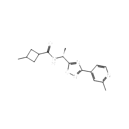 Cc1cc(-c2noc([C@H](C)NC(=O)C3CC(C)C3)n2)ccn1